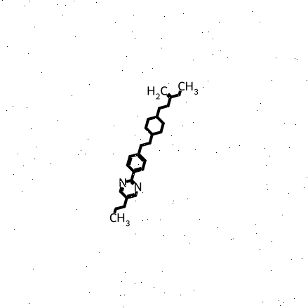 C=C(CC)CCC1CCC(CCc2ccc(-c3ncc(CCC)cn3)cc2)CC1